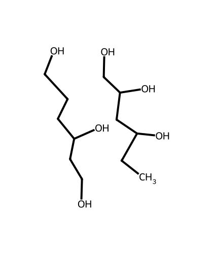 CCC(O)CC(O)CO.OCCCC(O)CCO